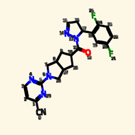 N#Cc1ccnc(N2CC3CC(C(=O)N4N=CCC4c4cc(F)ccc4F)CC3C2)n1